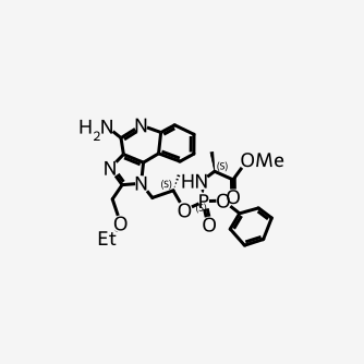 CCOCc1nc2c(N)nc3ccccc3c2n1C[C@H](C)O[P@@](=O)(N[C@@H](C)C(=O)OC)Oc1ccccc1